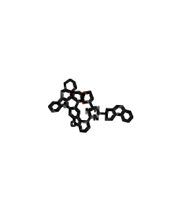 C1=Cc2cc3c(cc2CC1)c1ccccc1n3-c1cc2oc3cccc(-c4nc(-c5ccccc5)nc(-c5ccc6c(ccc7ccccc76)c5)n4)c3c2cc1-c1ccccc1